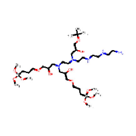 CO[Si](CCCOCC(O)CN(CCN(CCNCCNCCN)CC(O)COC(C)(C)C)CC(O)COCCC[Si](OC)(OC)OC)(OC)OC